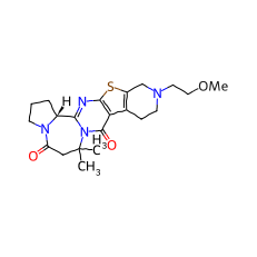 COCCN1CCc2c(sc3nc4n(c(=O)c23)C(C)(C)CC(=O)N2CCC[C@H]42)C1